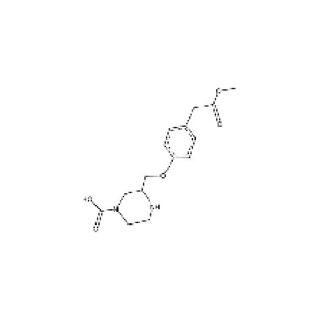 COC(=O)Cc1ccc(OCC2CN(C(=O)O)CCN2)cc1